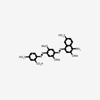 COc1cc(N=Nc2cc(OC)c(N)c3ccc(S(=O)(=O)O)cc23)c(OC)cc1N=Nc1ccc(S(=O)(=O)O)cc1S(=O)(=O)O